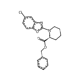 O=C(OCc1ccccc1)[C@@H]1CCCCN1c1nc2cc(Cl)ccc2o1